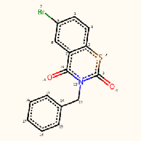 O=c1sc2ccc(Br)cc2c(=O)n1Cc1ccccc1